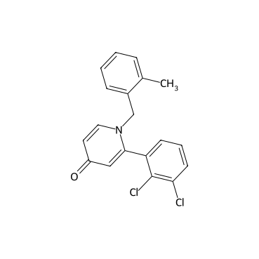 Cc1ccccc1Cn1ccc(=O)cc1-c1cccc(Cl)c1Cl